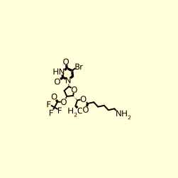 C=CC(OC(=O)CCCCCN)[C@H]1O[C@@H](n2cc(Br)c(=O)[nH]c2=O)C[C@@H]1OC(=O)C(F)(F)F